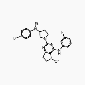 CCN(c1ccc(Br)cc1)C1CCN(c2nc3c(c(Nc4cccc(F)c4)n2)[S+]([O-])CC3)C1